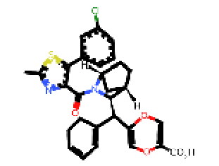 Cc1nc(C(=O)N2[C@@H]3CC[C@@H](C3)[C@H]2C(C2=CC=CCC2)C2=COC(C(=O)O)=CO2)c(-c2cccc(Cl)c2)s1